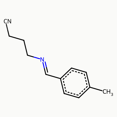 Cc1ccc(C=NCCCC#N)cc1